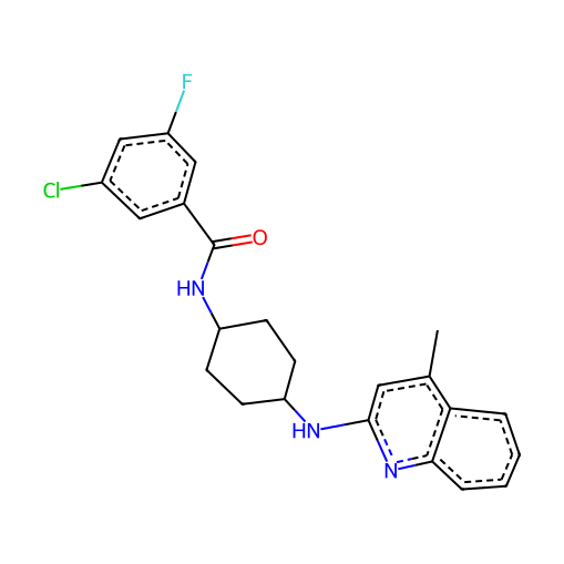 Cc1cc(NC2CCC(NC(=O)c3cc(F)cc(Cl)c3)CC2)nc2ccccc12